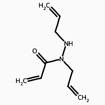 C=CCNN(CC=C)C(=O)C=C